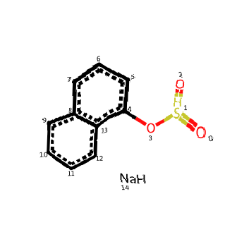 O=[SH](=O)Oc1cccc2ccccc12.[NaH]